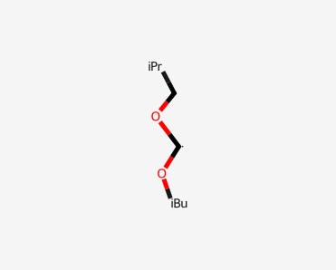 CCC(C)O[CH]OCC(C)C